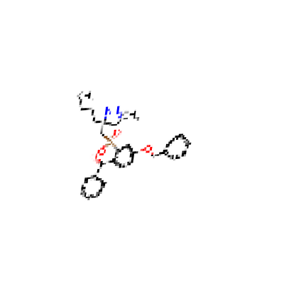 CCCCC(N)(CC)CS(=O)(=O)c1cc(OCc2ccccc2)ccc1C(=O)c1ccccc1